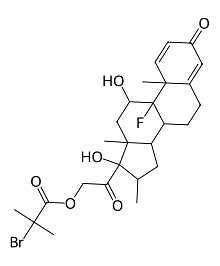 CC1CC2C3CCC4=CC(=O)C=CC4(C)C3(F)C(O)CC2(C)C1(O)C(=O)COC(=O)C(C)(C)Br